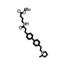 CC1CCCN1CCc1ccc(-c2ccc(CCC(=O)NCCCC(=O)OC(C)(C)C)cc2)cc1